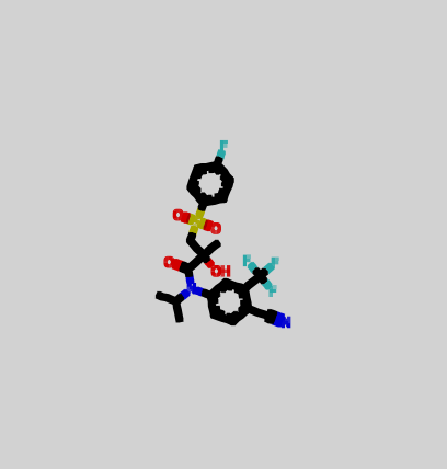 CC(C)N(C(=O)C(C)(O)CS(=O)(=O)c1ccc(F)cc1)c1ccc(C#N)c(C(F)(F)F)c1